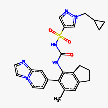 Cc1cc2c(c(NC(=O)NS(=O)(=O)c3cnn(CC4CC4)c3)c1-c1ccn3ccnc3c1)CCC2